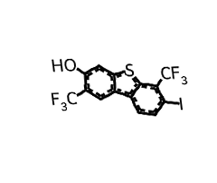 Oc1cc2sc3c(C(F)(F)F)c(I)ccc3c2cc1C(F)(F)F